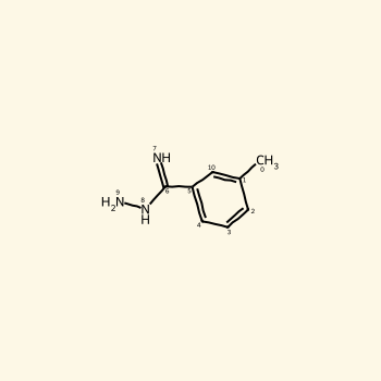 Cc1cccc(C(=N)NN)c1